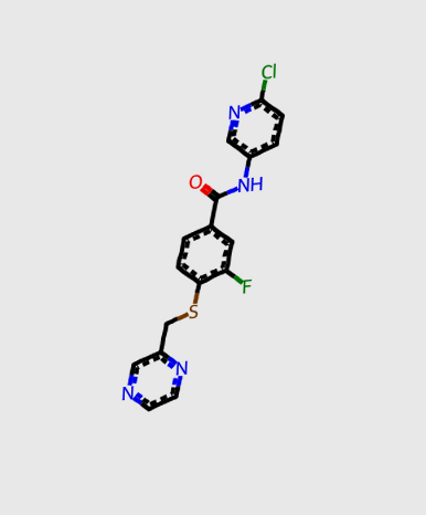 O=C(Nc1ccc(Cl)nc1)c1ccc(SCc2cnccn2)c(F)c1